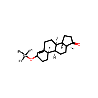 CC(C)[Si](OC1C=C2CC[C@@H]3[C@@H](CC[C@]4(C)C(=O)CC[C@@H]34)[C@@]2(C)CC1)(C(C)C)C(C)C